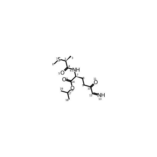 CS[C@@H](C)C(=O)N[C@@H](CCC(=O)C=N)C(=O)OC(C)C